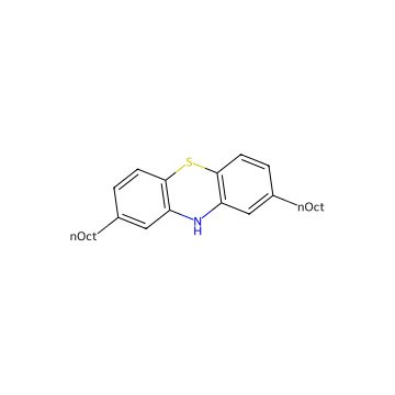 CCCCCCCCc1ccc2c(c1)Nc1cc(CCCCCCCC)ccc1S2